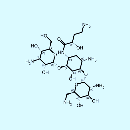 NCC[C@H](O)C(=O)N[C@@H]1C[C@H](N)[C@@H](O[C@H]2O[C@H](CN)[C@@H](O)[C@H](O)[C@H]2N)[C@H](O)[C@H]1O[C@H]1O[C@H](CO)[C@@H](O)[C@H](N)[C@H]1O